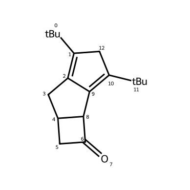 CC(C)(C)C1=C2CC3CC(=O)C3C2=C(C(C)(C)C)C1